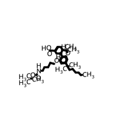 CCCCCCC(C)(C)c1cc(OCCCCCNC(=O)OC(C)(C)C)c2c(c1)OC(C)(C)[C@@H]1CC=C(C(=O)O)C[C@@H]21